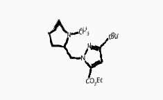 CCOC(=O)c1cc(C(C)(C)C)nn1CC1CCCN1C